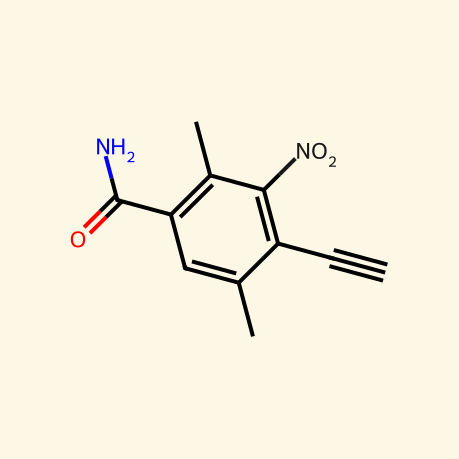 C#Cc1c(C)cc(C(N)=O)c(C)c1[N+](=O)[O-]